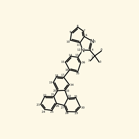 CC(C)(C)c1nc2ccccc2n1-c1ccc(-c2ccc3c4ccccc4c4ccccc4c3c2)cc1